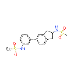 CCS(=O)(=O)Nc1cccc(-c2ccc3c(c2)CC(NS(=O)(=O)C(C)C)C3)c1